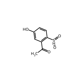 CC(=O)c1cc(O)ccc1[SH](=O)=O